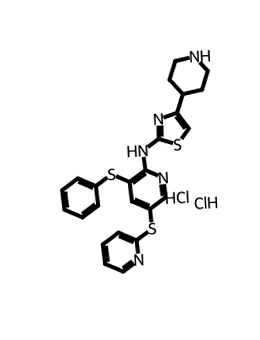 Cl.Cl.c1ccc(Sc2cc(Sc3ccccn3)cnc2Nc2nc(C3CCNCC3)cs2)cc1